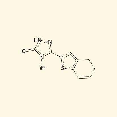 CC(C)n1c(-c2cc3c(s2)C=CCC3)n[nH]c1=O